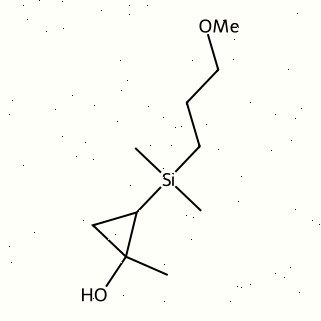 COCCC[Si](C)(C)C1CC1(C)O